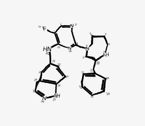 Fc1cnc(N2CCCNC(c3ccccc3)C2)nc1Nc1ccc2[nH]ncc2c1